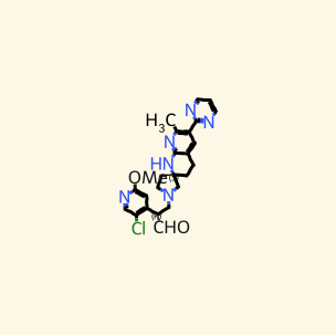 COc1cc([C@@H](C=O)CN2CC[C@@]3(CCc4cc(-c5ncccn5)c(C)nc4N3)C2)c(Cl)cn1